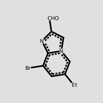 CCc1cc(Br)c2nc(C=O)cn2c1